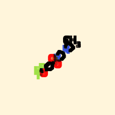 CC1CCCN(C2CCN(S(=O)(=O)c3ccc(OC(F)(F)F)cc3)CC2)C1